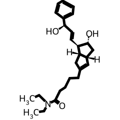 CCN(CC)C(=O)CCCCC1=C[C@H]2C[C@@H](O)[C@H](/C=C/[C@@H](O)c3ccccc3)[C@H]2C1